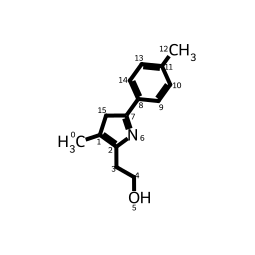 CC1=C(CCO)N=C(c2ccc(C)cc2)C1